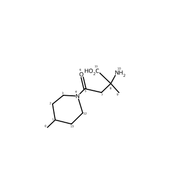 CC1CCN(C(=O)CC(C)(N)C(=O)O)CC1